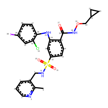 Cc1ncccc1CNS(=O)(=O)c1ccc(C(=O)NOCC2CC2)c(Nc2ccc(I)cc2Cl)c1